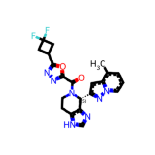 Cc1cccn2nc([C@@H]3c4nc[nH]c4CCN3C(=O)c3nnc(C4CC(F)(F)C4)o3)cc12